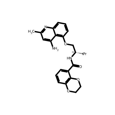 Cc1cc(N)c2c(OC[C@@H](NC(=O)c3cccc4c3OCCO4)C(C)C)cccc2n1